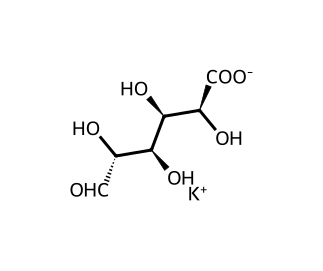 O=C[C@H](O)[C@H](O)[C@@H](O)[C@H](O)C(=O)[O-].[K+]